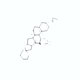 C[C@@H]1CC[C@@]2(OC1)O[C@H]1C[C@H]3[C@@H]4CC[C@H]5C[C@@H](O[Si](C)(C)C(C)(C)C)CC[C@]5(C)[C@H]4[C@@H](O[Si](C)(C)C)C(=O)[C@]3(C)[C@H]1[C@@H]2C